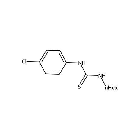 CCCCCCNC(=S)Nc1ccc(Cl)cc1